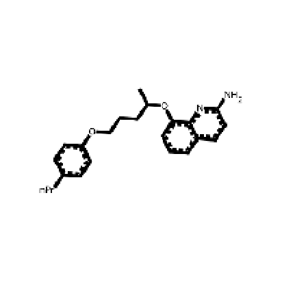 CCCc1ccc(OCCCC(C)Oc2cccc3ccc(N)nc23)cc1